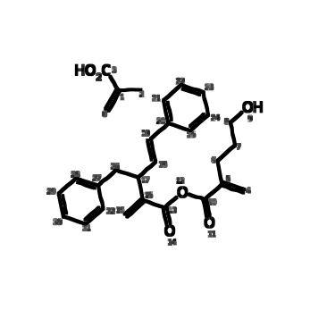 C=C(C)C(=O)O.C=C(CCCO)C(=O)OC(=O)C(=C)C(C=Cc1ccccc1)Cc1ccccc1